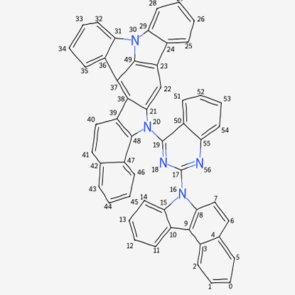 c1ccc2c(c1)ccc1c2c2ccccc2n1-c1nc(-n2c3cc4c5ccccc5n5c6ccccc6c(c3c3ccc6ccccc6c32)c45)c2ccccc2n1